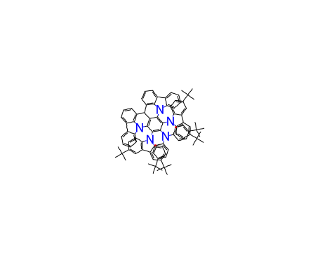 CC(C)(C)c1ccc(N(c2ccc(C(C)(C)C)cc2)c2c(-n3c4ccc(C(C)(C)C)cc4c4cc(C(C)(C)C)ccc43)c3c4c(c2-n2c5ccc(C(C)(C)C)cc5c5cc(C(C)(C)C)ccc52)-n2c5ccccc5c5cccc(c52)C4c2cccc4c5ccccc5n-3c24)cc1